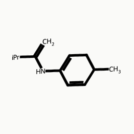 C=C(NC1=CCC(C)C=C1)C(C)C